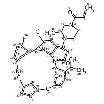 C=CC(=O)N1CCN(c2nc(=O)n3c4nc(c(F)cc24)-c2cc(ccc2F)NCc2cn(nn2)Cc2cnc(C(C)C)c-3c2)[C@@H](C)C1